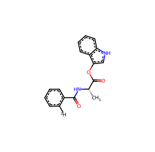 [2H]c1ccccc1C(=O)N[C@@H](C)C(=O)Oc1c[nH]c2ccccc12